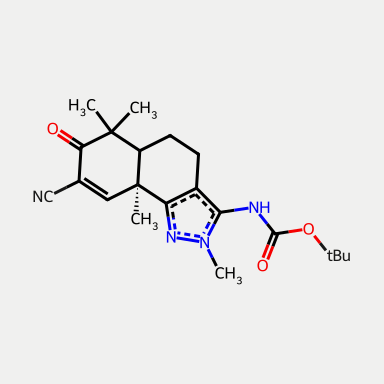 Cn1nc2c(c1NC(=O)OC(C)(C)C)CCC1C(C)(C)C(=O)C(C#N)=C[C@]21C